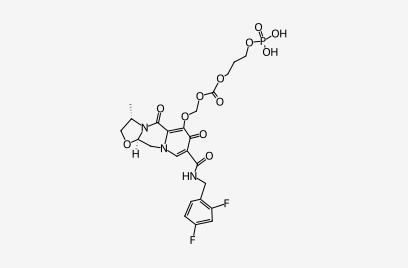 C[C@H]1CO[C@@H]2Cn3cc(C(=O)NCc4ccc(F)cc4F)c(=O)c(OCOC(=O)OCCCOP(=O)(O)O)c3C(=O)N12